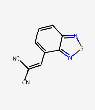 N#CC(C#N)=Cc1cccc2nsnc12